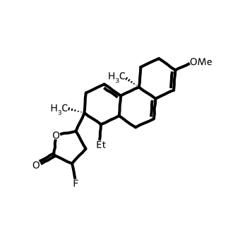 CCC1C2CC=C3C=C(OC)CC[C@]3(C)C2=CC[C@]1(C)C1CC(F)C(=O)O1